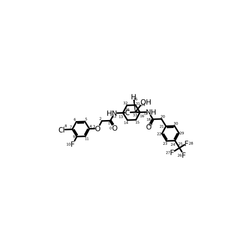 O=C(COc1ccc(Cl)c(F)c1)NC12CCC(NC(=O)Cc3ccc(C(F)(F)F)cc3)(CC1)[C@@H](O)C2